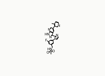 Cc1ccncc1-c1cnc2[nH]nc(-c3nccn3-c3cc(F)cc(CNS(C)(=O)=O)c3)c2c1